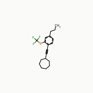 CCCc1ccc(C#CC2CCCCCC2)c(SC(F)(F)F)c1